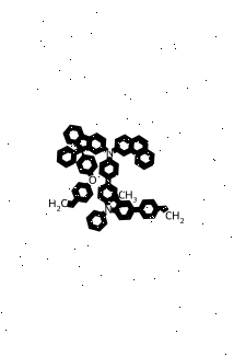 C=CC1=CCC(OC2CCC([C@]3(C4C=CCCC4)C4CC(N(C5=CCC(C6=CC7(C)C8=CC(C9CCC(C=C)CC9)=CCC8N(C8CCCCC8)C7CC6)CC5)C5CC=C6C=CC7=C(C=CCC7)C6C5)C=CC4C4CCCCC43)CC2)CC1